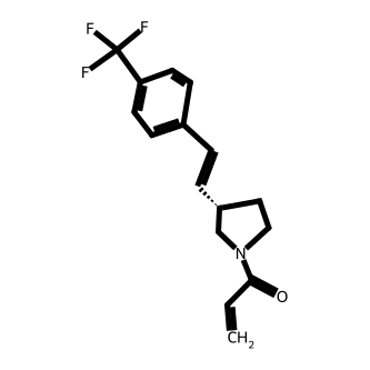 C=CC(=O)N1CC[C@@H](/C=C/c2ccc(C(F)(F)F)cc2)C1